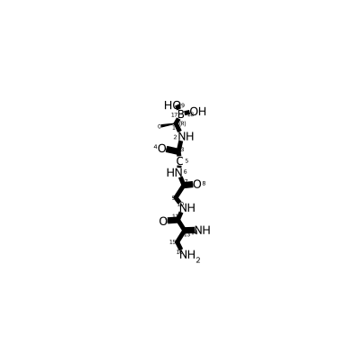 C[C@H](NC(=O)CNC(=O)CNC(=O)C(=N)CN)B(O)O